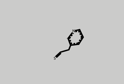 S=CCc1[c]nccc1